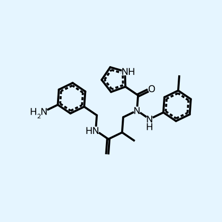 C=C(NCc1cccc(N)c1)C(C)CN(Nc1cccc(C)c1)C(=O)c1ccc[nH]1